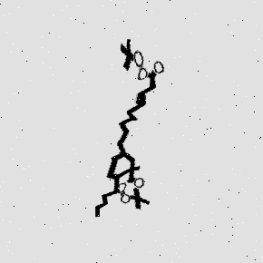 CCCCCC1C=CC(CCCCCCCCC(=O)OOC(C)(C)C)CC1(C)C(=O)OOC(C)(C)C